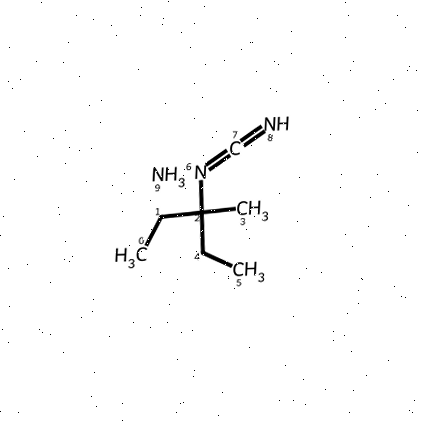 CCC(C)(CC)N=C=N.N